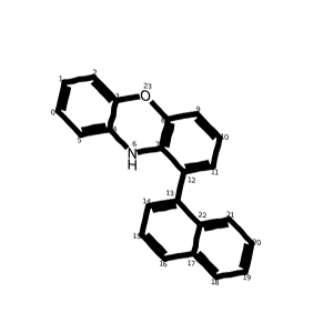 c1ccc2c(c1)Nc1c(cccc1-c1cccc3ccccc13)O2